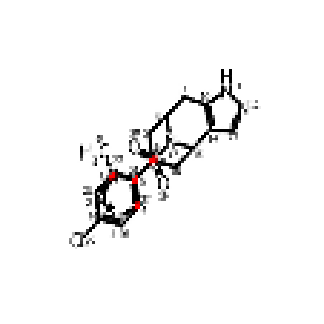 Cn1nncc1C1CC2Cc3[nH]ncc3C(C1)N2S(=O)(=O)c1ccc(Cl)cc1